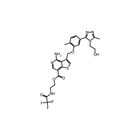 Cc1ccc(-c2nnc(C)n2CCO)cc1OCc1csc2c(C(=O)OCCNC(=O)C(F)(F)F)cnc(N)c12